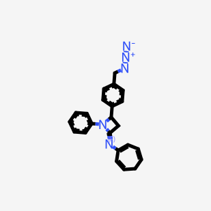 [N-]=[N+]=NCc1ccc(C2C/C(=N\C3=CC=CCC=C3)N2c2ccccc2)cc1